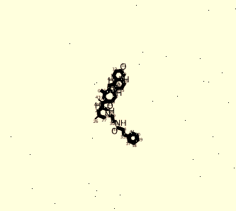 CC1=C2C[C@H]3[C@@H](CC[C@@H]4CC(=O)CC[C@@]43C)[C@@H]2CCC2(C1)O[C@H]1[C@@H](C[C@H](C)CN1CCNC(=O)CCc1ccccc1)[C@H]2C